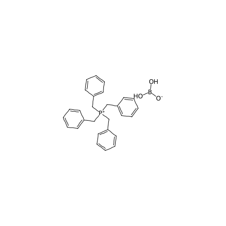 [O-]B(O)O.c1ccc(C[P+](Cc2ccccc2)(Cc2ccccc2)Cc2ccccc2)cc1